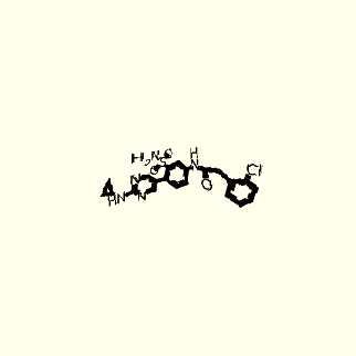 NS(=O)(=O)c1cc(NC(=O)Cc2ccccc2Cl)ccc1-c1cnc(NC2CC2)nc1